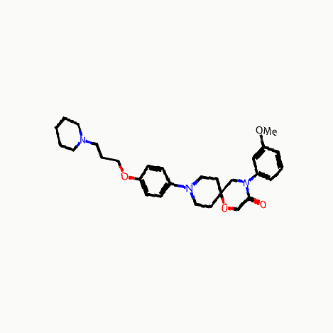 COc1cccc(N2CC3(CCN(c4ccc(OCCCN5CCCCC5)cc4)CC3)OCC2=O)c1